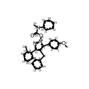 COc1ccc(-c2c(Cc3ccccc3)c(-c3ccccc3C)nn2OC(=O)N(C)c2ccccc2)cc1